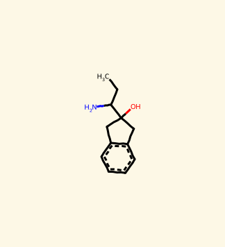 CCC(N)C1(O)Cc2ccccc2C1